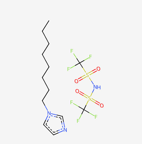 CCCCCCCCn1ccnc1.O=S(=O)(NS(=O)(=O)C(F)(F)F)C(F)(F)F